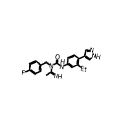 CCc1cc(NC(=O)N(Cc2ccc(F)cc2)C(C)=N)ccc1-c1cn[nH]c1